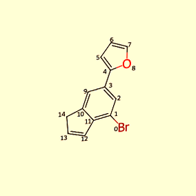 Brc1cc(-c2ccco2)cc2c1C=CC2